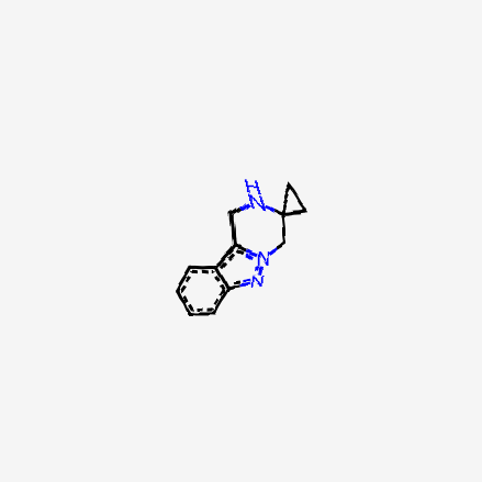 c1ccc2c3n(nc2c1)CC1(CC1)NC3